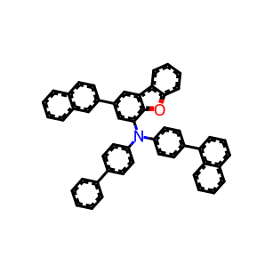 c1ccc(-c2ccc(N(c3ccc(-c4cccc5ccccc45)cc3)c3cc(-c4ccc5ccccc5c4)cc4c3oc3ccccc34)cc2)cc1